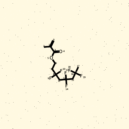 C=C(C)C(=O)OCCC(F)(F)CC(F)(F)CC(C)(F)F